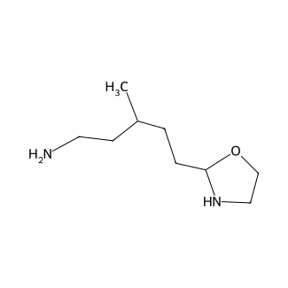 CC(CCN)CCC1NCCO1